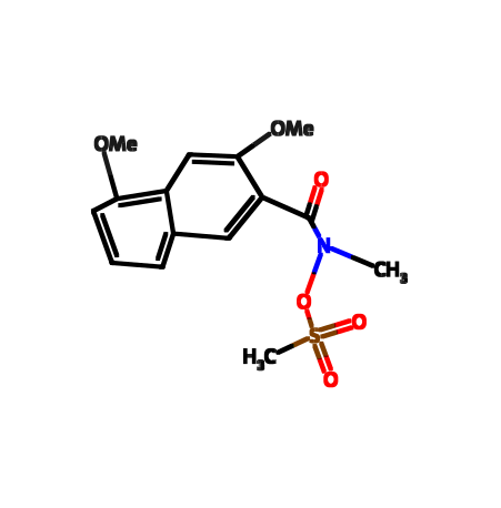 COc1cc2c(OC)cccc2cc1C(=O)N(C)OS(C)(=O)=O